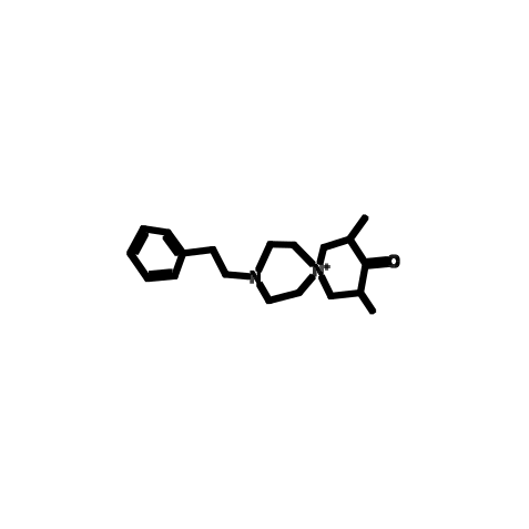 CC1C[N+]2(CCN(CCc3ccccc3)CC2)CC(C)C1=O